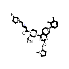 Cc1cccc(N2CCc3c(nc(OC[C@@H]4CCCN4C)nc3N3CCN(C(=O)/C=C/CN4CCC(F)C4)[C@@H](CC#N)C3)C2)c1C